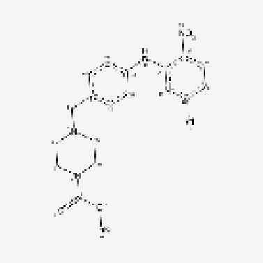 CCCCOC(=O)N1CCN(Cc2ccc(Nc3nc(Cl)ccc3[N+](=O)[O-])cc2)CC1